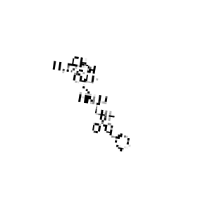 CC(C)(C)OC(=O)CCNC(=O)CNC(=O)OCc1ccccc1